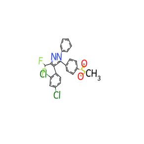 CS(=O)(=O)c1ccc(-c2c(-c3ccc(Cl)cc3Cl)c(C(F)F)nn2-c2ccccc2)cc1